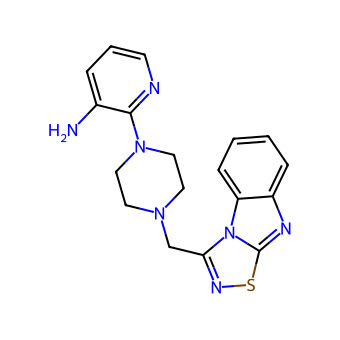 Nc1cccnc1N1CCN(Cc2nsc3nc4ccccc4n23)CC1